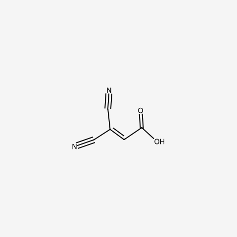 N#CC(C#N)=CC(=O)O